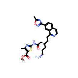 CCCOC(=O)c1sc(NC(=O)C[C@H](CCCN)CCc2nccc3ccc(-c4noc(C)n4)cc23)nc1C